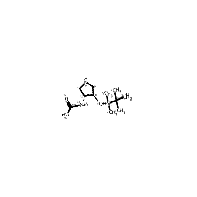 CC(C)(C)[Si](C)(C)O[C@@H]1CNC[C@H]1NC(=O)O